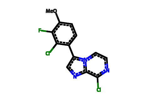 COc1ccc(-c2cnc3c(Cl)nccn23)c(Cl)c1F